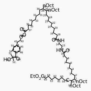 CCCCCCCCC(CCCCCCCCC(=O)NCCNC(=O)CCCCCCCCC(CCCCCCCC)C(CCCCCCCC)CCCCCCCCC(=O)OOCCc1ccc(C(=O)C(C)(C)O)cc1)C(CCCCCCCC)CCCCCCCCC(=O)OCC